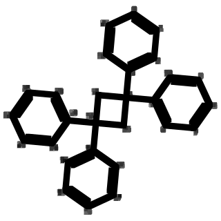 c1ccc(C2(c3ccccc3)CC(c3ccccc3)(c3ccccc3)C2)cc1